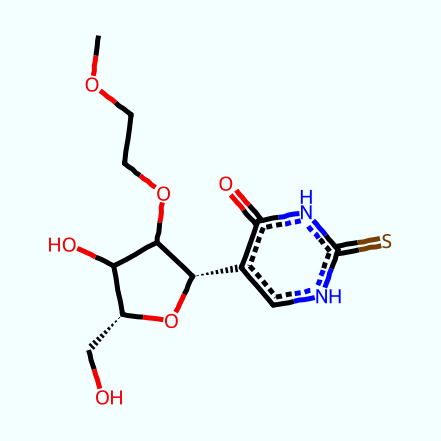 COCCOC1C(O)[C@@H](CO)O[C@H]1c1c[nH]c(=S)[nH]c1=O